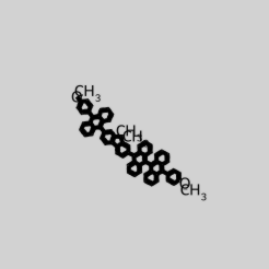 COc1ccc(-c2c3ccccc3c(-c3ccc4c(c3)C(C)(C)c3cc(-c5c6ccccc6c(-c6c7ccccc7c(-c7ccc(OC)cc7)c7ccccc67)c6ccccc56)ccc3-4)c3ccccc23)cc1